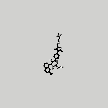 Cc1nn(COCCS(C)(C)C)c(C)c1-c1ccc(NC(=O)[C@@H](NC(=O)OC(C)(C)C)[C@@H]2CCCc3ccc(Br)cc32)cc1